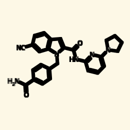 N#Cc1ccc2cc(C(=O)Nc3cccc(N4CCCC4)n3)n(Cc3ccc(C(N)=O)cc3)c2c1